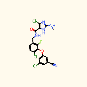 CNc1nc(Cl)c(C(=O)NCc2ccc(Cl)c(Oc3cc(Cl)cc(C#N)c3)c2F)[nH]1